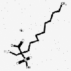 CCCCCCCCCCC(CC)(C(=O)[O-])S(=O)(=O)O.[Na+]